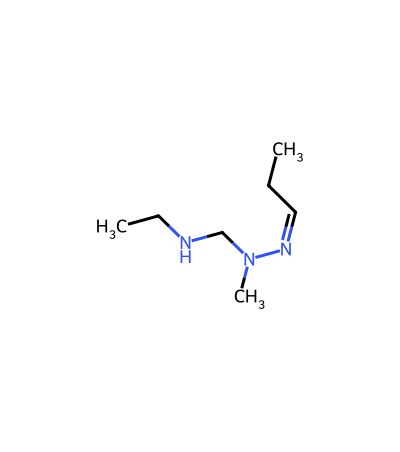 CC/C=N\N(C)CNCC